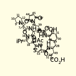 CC[C@H](C)[C@H](NC(=O)C(C)(C)N1CCCC1)C(=O)N(C)[C@H](C[C@@H](OC(C)=O)c1nc(C(=O)N[C@@H](Cc2ccc(O)c(NC(=O)CCCN3C(=O)C=CC3=O)c2)CC(C)C(=O)O)cs1)C(C)C